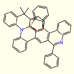 CC1(C)c2ccccc2N(c2ccccc2-c2cc3c(-c4ccccc4)nc4ccccc4c3c3c2sc2ccccc23)c2ccccc21